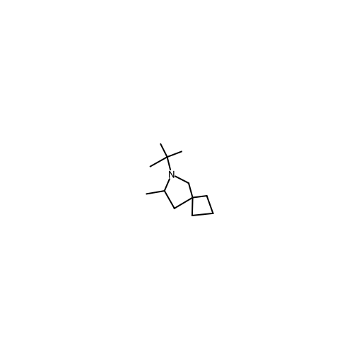 CC1CC2(CCC2)CN1C(C)(C)C